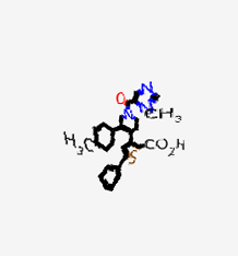 CC1CCC(C2=C(c3cc(-c4ccccc4)sc3C(=O)O)CCN(C(=O)c3cncn3C)C2)CC1